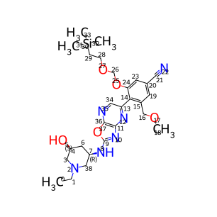 CCN1C[C@@H](O)C[C@@H](Nc2nc3nc(-c4c(COC)cc(C#N)cc4OCOCC[Si](C)(C)C)cnc3o2)C1